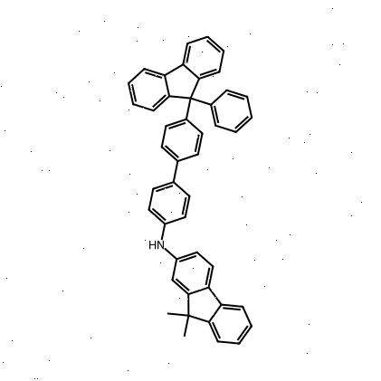 CC1(C)c2ccccc2-c2ccc(Nc3ccc(-c4ccc(C5(c6ccccc6)c6ccccc6-c6ccccc65)cc4)cc3)cc21